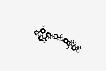 O=C1CCC(N2C(=O)c3ccc(NC(=O)C4CCN(c5cccc(-c6cnc7ccc(N8CCCC8c8cccc(F)c8)nn67)n5)CC4)cc3C2=O)C(=O)N1